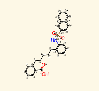 O=C(O)c1ccccc1CCCCCc1ccccc1NS(=O)(=O)c1ccc2ccccc2c1